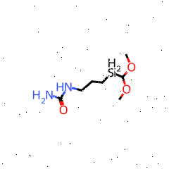 COC(OC)[SiH2]CCCNC(N)=O